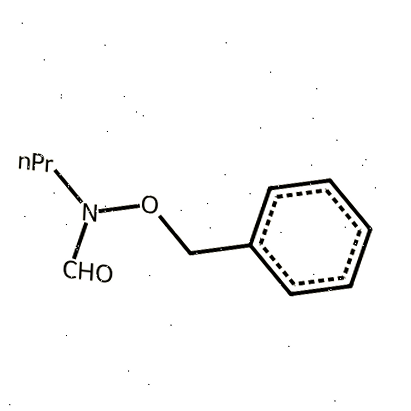 CCCN(C=O)OCc1ccccc1